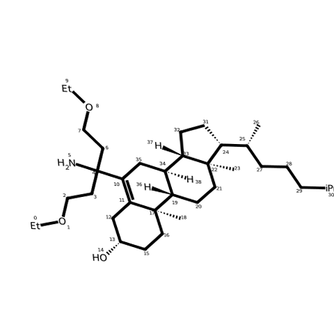 CCOCCC(N)(CCOCC)C1=C2C[C@@H](O)CC[C@]2(C)[C@H]2CC[C@]3(C)[C@@H]([C@H](C)CCCC(C)C)CC[C@H]3[C@@H]2C1